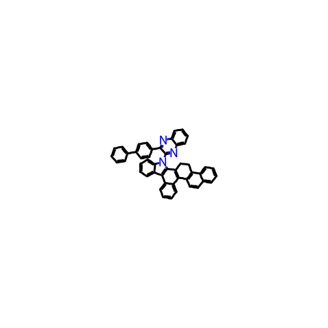 c1ccc(-c2ccc(-c3nc4ccccc4nc3-n3c4ccccc4c4c5ccccc5c5c(c43)CCc3c-5ccc4ccccc34)cc2)cc1